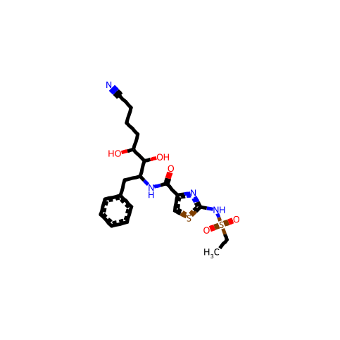 CCS(=O)(=O)Nc1nc(C(=O)NC(Cc2ccccc2)C(O)C(O)CCCC#N)cs1